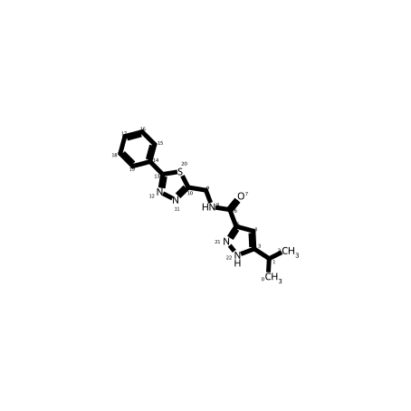 CC(C)c1cc(C(=O)NCc2nnc(-c3ccccc3)s2)n[nH]1